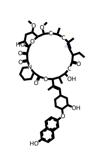 CCC1/C=C(\C)CC(C)CC(OC)C2OC(O)(C(=O)C(=O)N3CCCCC3C(=O)OC(C(C)=CC3CCC(Oc4ccc5cc(O)ccc5c4)C(O)C3)C(C)C(O)CC1=O)C(C)CC2OC